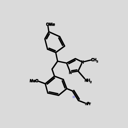 CCC/C=C/c1ccc(OC)c(CC(c2ccc(OC)cc2)c2cn(C)c(N)n2)c1